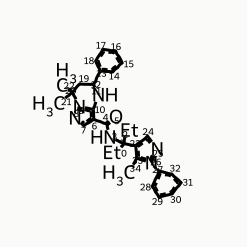 CCC(CC)(NC(=O)c1cnn2c1NC(c1ccccc1)CC2(C)C)c1cnn(-c2ccccc2)c1C